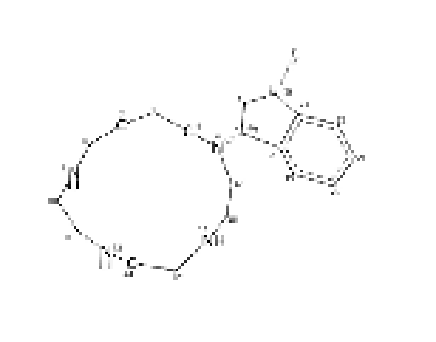 C[C@H]1C[C@@H](N2CCCCNCCNCCNCC2)c2ccccc21